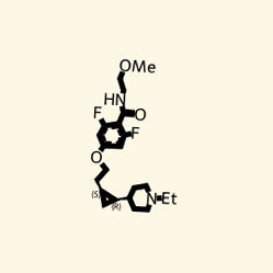 CCN1CCC([C@H]2C[C@H]2CCOc2cc(F)c(C(=O)NCCOC)c(F)c2)CC1